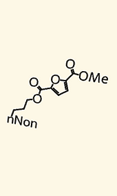 CCCCCCCCCCCCOC(=O)c1ccc(C(=O)OC)o1